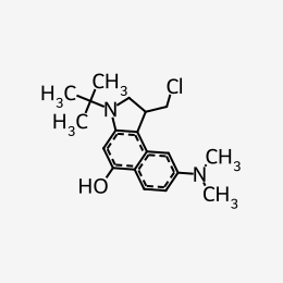 CN(C)c1ccc2c(O)cc3c(c2c1)C(CCl)CN3C(C)(C)C